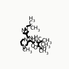 CNC(=O)[C@@H](NC(=O)c1nc(-c2cnn(CC(C)C)c2)n2c1CN(C)CCC2)C(C)(C)C